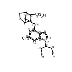 O=C(O)C1C2CCC(CC2)C1Nc1nc(Cl)nc2c1ccn2C(CF)CF